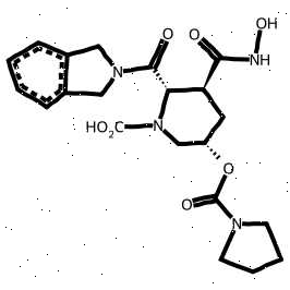 O=C(NO)[C@H]1C[C@H](OC(=O)N2CCCC2)CN(C(=O)O)[C@@H]1C(=O)N1Cc2ccccc2C1